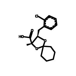 C[C@]1(C(=O)O)OC2(CCCCC2)O[C@@H]1Cc1ccccc1Cl